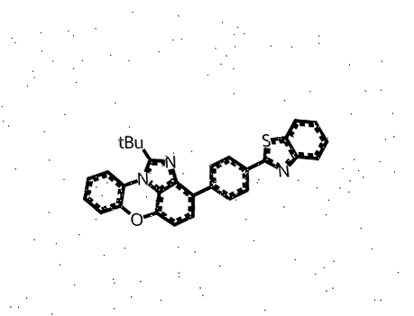 CC(C)(C)c1nc2c(-c3ccc(-c4nc5ccccc5s4)cc3)ccc3c2n1-c1ccccc1O3